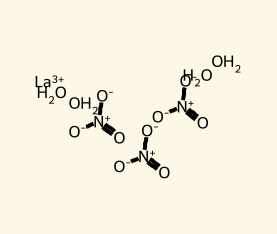 O.O.O.O.O=[N+]([O-])[O-].O=[N+]([O-])[O-].O=[N+]([O-])[O-].[La+3]